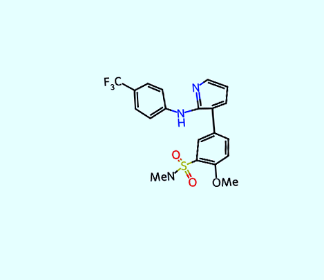 CNS(=O)(=O)c1cc(-c2cccnc2Nc2ccc(C(F)(F)F)cc2)ccc1OC